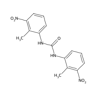 Cc1c(NC(=O)Nc2cccc([N+](=O)[O-])c2C)cccc1[N+](=O)[O-]